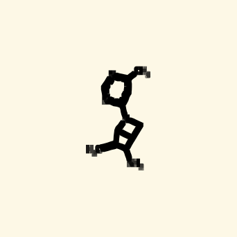 C=C1C(N)C2CN(c3cc(C)ncn3)C12